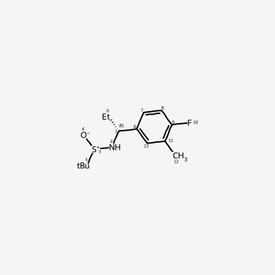 CC[C@@H](N[S+]([O-])C(C)(C)C)c1ccc(F)c(C)c1